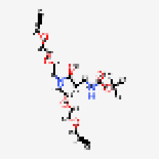 C#CCOCCOCCN(CCOCCOCC#C)C(=O)CCNC(=O)OC(C)(C)C